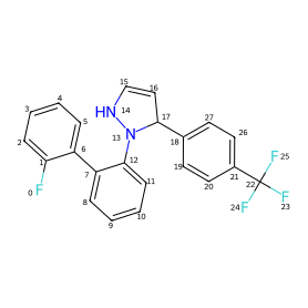 Fc1ccccc1-c1ccccc1N1NC=CC1c1ccc(C(F)(F)F)cc1